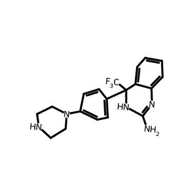 NC1=Nc2ccccc2C(c2ccc(N3CCNCC3)cc2)(C(F)(F)F)N1